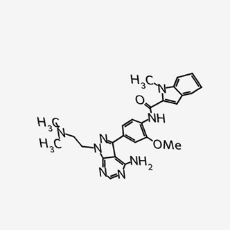 COc1cc(-c2nn(CCN(C)C)c3ncnc(N)c23)ccc1NC(=O)c1cc2ccccc2n1C